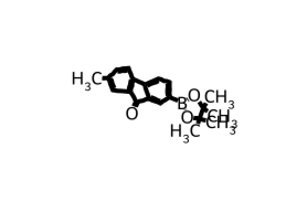 Cc1ccc2c(c1)C(=O)c1cc(B3OC(C)(C)C(C)(C)O3)ccc1-2